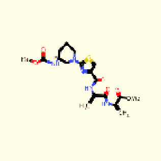 C=C(NC(=O)c1csc(N2CCC[C@H](NC(=O)OC(C)(C)C)C2)n1)C(=O)NC(=C)C(=O)OC